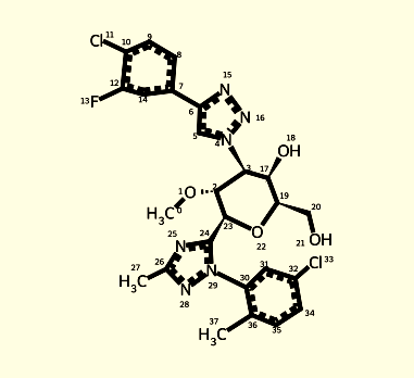 CO[C@@H]1[C@@H](n2cc(-c3ccc(Cl)c(F)c3)nn2)[C@@H](O)[C@@H](CO)O[C@H]1c1nc(C)nn1-c1cc(Cl)ccc1C